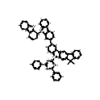 CC1(C)c2ccccc2-c2cc3c4cc(-c5ccc6c7ccccc7n(C7CC=Cc8c7oc7ccccc87)c6c5)ccc4n(-c4nc(-c5ccccc5)nc(-c5ccccc5)n4)c3cc21